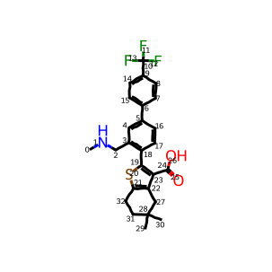 CNCc1cc(-c2ccc(C(F)(F)F)cc2)ccc1-c1sc2c(c1C(=O)O)CC(C)(C)CC2